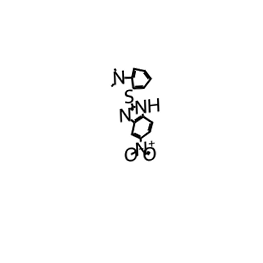 CN(C)c1ccccc1Sc1nc2cc([N+](=O)[O-])ccc2[nH]1